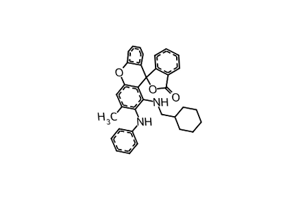 Cc1cc2c(c(NCC3CCCCC3)c1Nc1ccccc1)C1(OC(=O)c3ccccc31)c1ccccc1O2